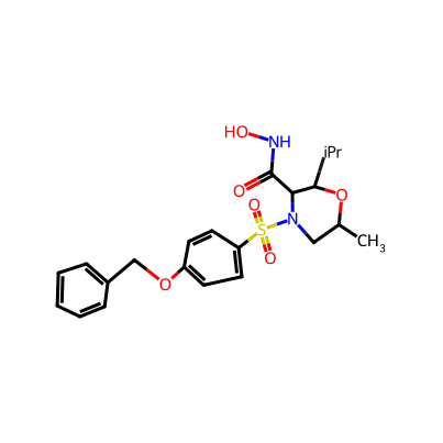 CC1CN(S(=O)(=O)c2ccc(OCc3ccccc3)cc2)C(C(=O)NO)C(C(C)C)O1